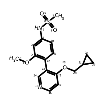 COc1cc(NS(C)(=O)=O)ccc1-c1cnccc1OCC1CC1